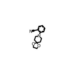 N#Cc1ccccc1N1CCC2(CC1)OCCO2